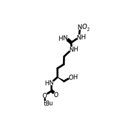 CC(C)(C)OC(=O)N[C@H](CO)CCCNC(=N)N[N+](=O)[O-]